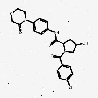 O=C(Nc1ccc(N2CCOCC2=O)cc1)[C@H]1C[C@@H](O)CN1C(=O)c1ccc(Cl)cc1